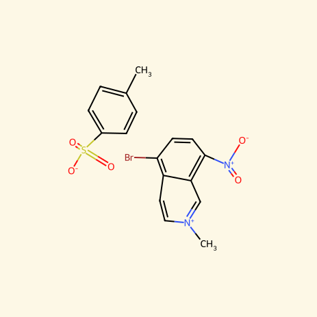 C[n+]1ccc2c(Br)ccc([N+](=O)[O-])c2c1.Cc1ccc(S(=O)(=O)[O-])cc1